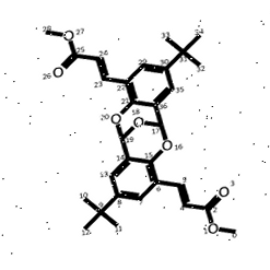 COC(=O)C=Cc1cc(C(C)(C)C)cc2c1OC1OC2Oc2c(C=CC(=O)OC)cc(C(C)(C)C)cc21